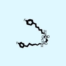 O=S(=O)(CS(=O)(=O)NCCCCCCc1ccc(F)cc1)NCCCCCCc1ccc(F)cc1